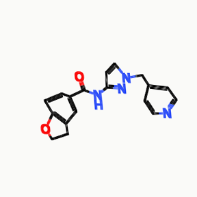 O=C(Nc1ccn(Cc2ccncc2)n1)c1ccc2c(c1)CCO2